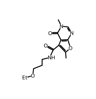 CCOCCCNC(=O)c1c(C)oc2ncn(C)c(=O)c12